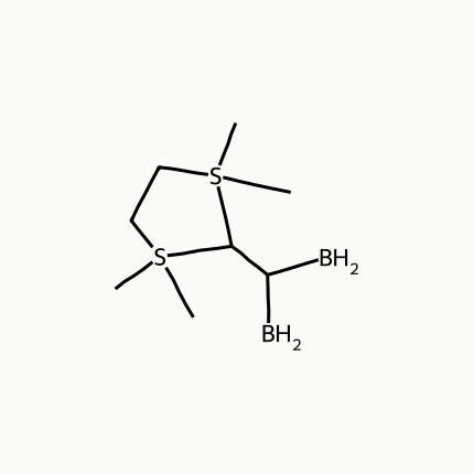 BC(B)C1S(C)(C)CCS1(C)C